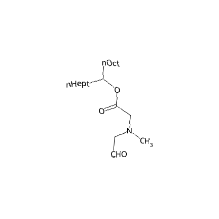 CCCCCCCCC(CCCCCCC)OC(=O)CN(C)CC=O